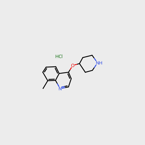 Cc1cccc2c(OC3CCNCC3)ccnc12.Cl